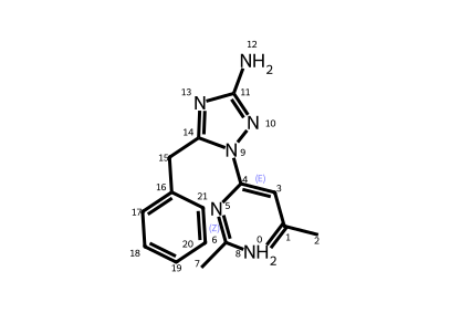 C=C(C)/C=C(\N=C(\C)N)n1nc(N)nc1Cc1ccccc1